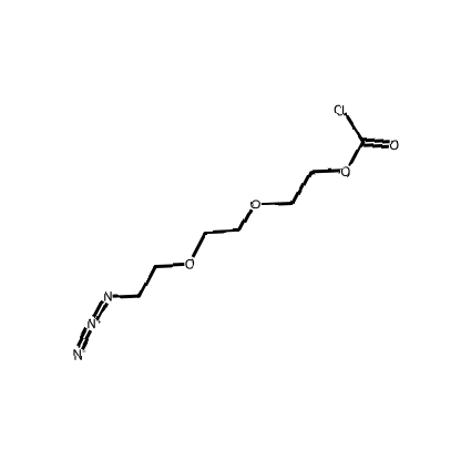 [N-]=[N+]=NCCOCCOCCOC(=O)Cl